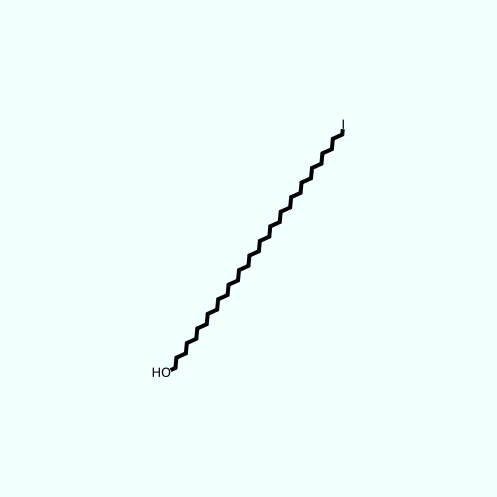 OCCCCCCCCCCCCCCCCCCCCCCCCCCCCCCCCCI